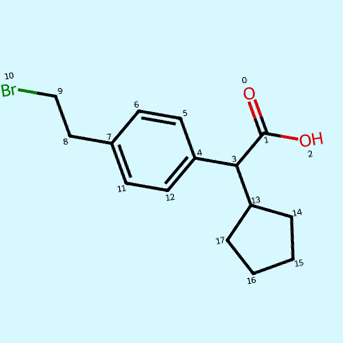 O=C(O)C(c1ccc(CCBr)cc1)C1CCCC1